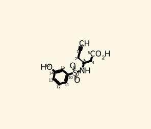 C#CC[C@@H](CC(=O)O)NS(=O)(=O)c1cccc(O)c1